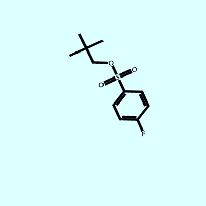 CC(C)(C)COS(=O)(=O)c1ccc(F)cc1